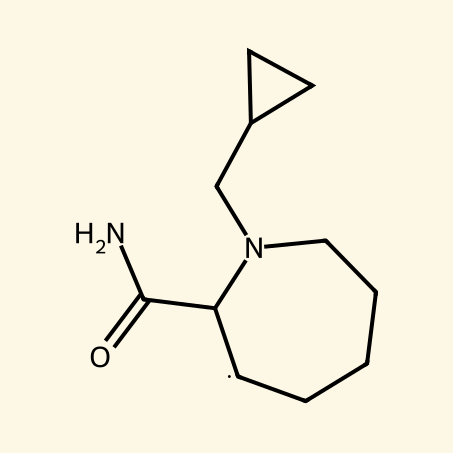 NC(=O)C1[CH]CCCCN1CC1CC1